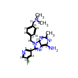 Cc1nc(N)c2nc(-c3cncc(F)c3)n(Cc3ccc(CN(C)C)cc3)c2n1